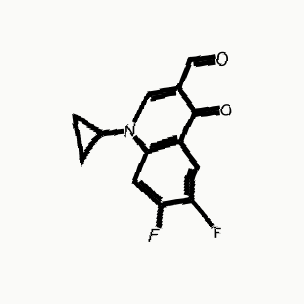 O=Cc1cn(C2CC2)c2cc(F)c(F)cc2c1=O